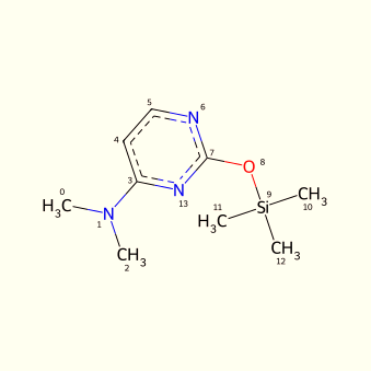 CN(C)c1ccnc(O[Si](C)(C)C)n1